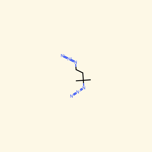 CC(C)(CCN=[N+]=[N-])N=[N+]=[N-]